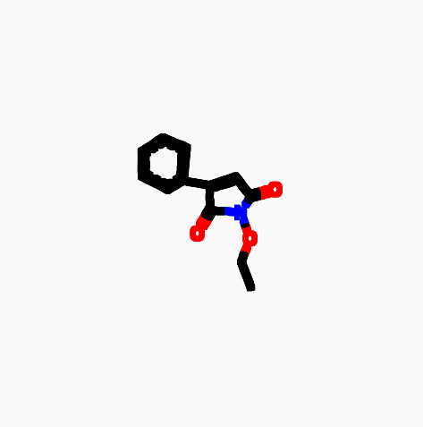 CCON1C(=O)C=C(c2ccccc2)C1=O